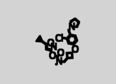 CN(CC1CC(Oc2ccc(CN3CCCC3)c(Cl)c2)C1)C(=O)Oc1cc(C2CC2)on1